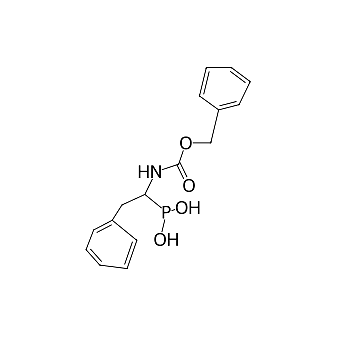 O=C(NC(Cc1ccccc1)P(O)O)OCc1ccccc1